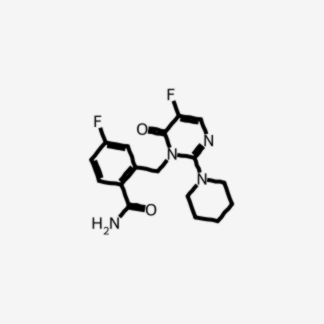 NC(=O)c1ccc(F)cc1Cn1c(N2CCCCC2)ncc(F)c1=O